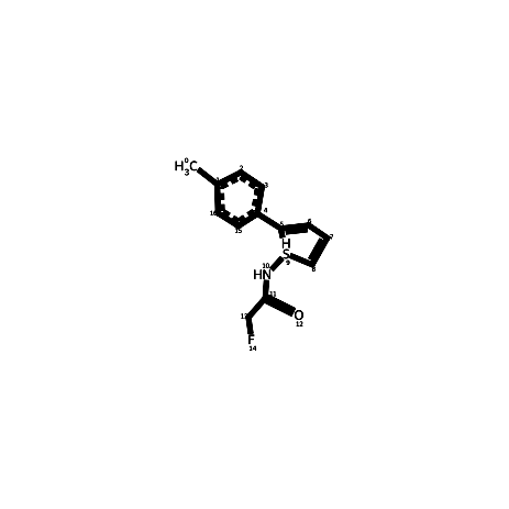 Cc1ccc(C2=CC=C[SH]2NC(=O)CF)cc1